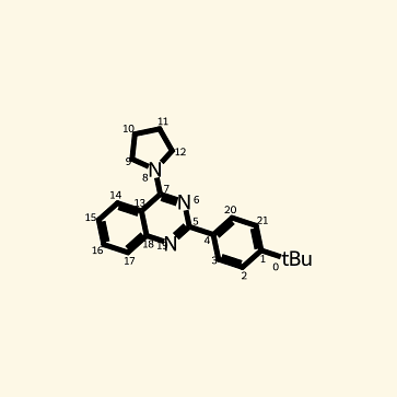 CC(C)(C)c1ccc(-c2nc(N3CCCC3)c3ccccc3n2)cc1